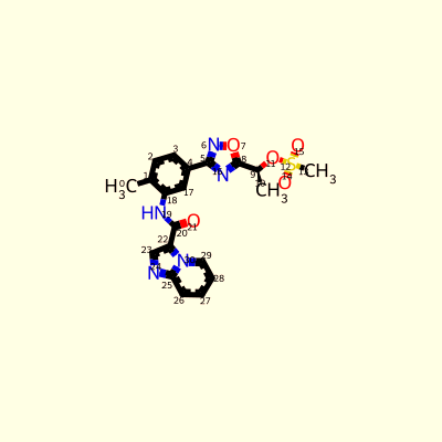 Cc1ccc(-c2noc([C@H](C)OS(C)(=O)=O)n2)cc1NC(=O)c1cnc2ccccn12